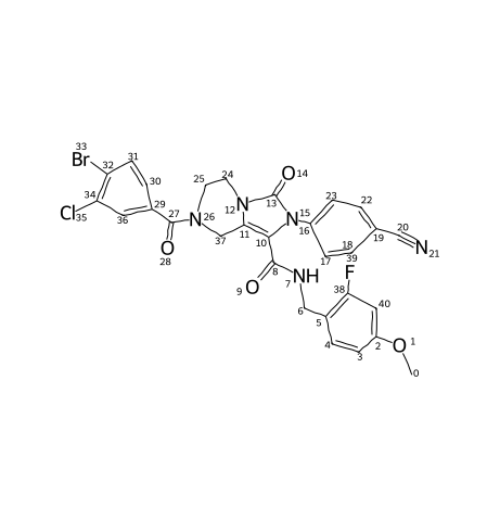 COc1ccc(CNC(=O)c2c3n(c(=O)n2-c2ccc(C#N)cc2)CCN(C(=O)c2ccc(Br)c(Cl)c2)C3)c(F)c1